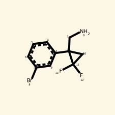 NCC1(c2cccc(Br)c2)CC1(F)F